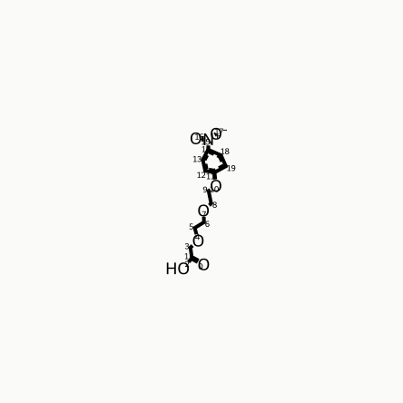 O=C(O)COCCOCCOc1ccc([N+](=O)[O-])cc1